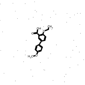 CCOc1ccc(-c2ccc(OC)cc2)cc1C(=O)O